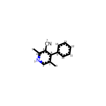 Cc1cnc(C)c(C#N)c1-c1ccccc1